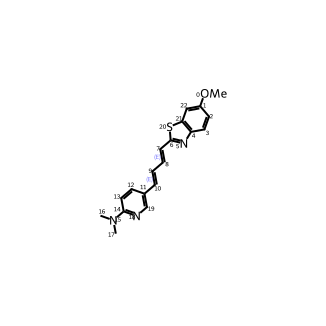 COc1ccc2nc(/C=C/C=C/c3ccc(N(C)C)nc3)sc2c1